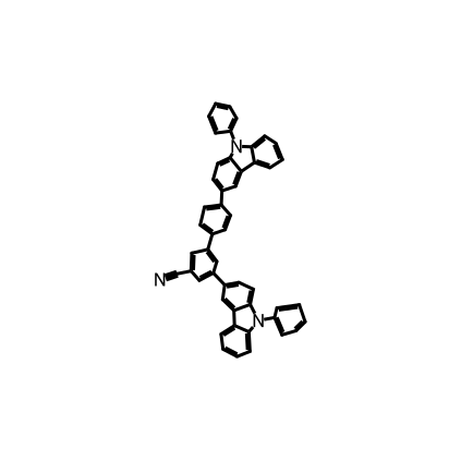 N#Cc1cc(-c2ccc(-c3ccc4c(c3)c3ccccc3n4-c3ccccc3)cc2)cc(-c2ccc3c(c2)c2ccccc2n3-c2ccccc2)c1